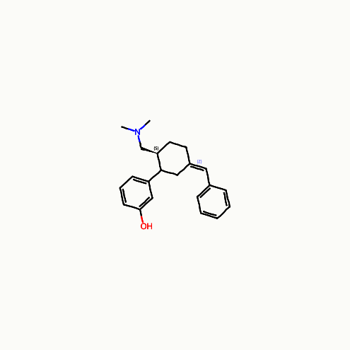 CN(C)C[C@H]1CC/C(=C/c2ccccc2)CC1c1cccc(O)c1